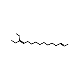 CC=CCCCCCCCCC=C(CC)CC